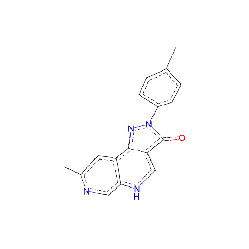 Cc1ccc(-n2nc3c4cc(C)ncc4[nH]cc-3c2=O)cc1